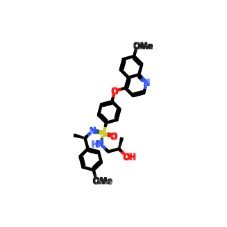 COc1ccc([C@@H](C)N=S(=O)(NC[C@@H](C)O)c2ccc(Oc3ccnc4cc(OC)ccc34)cc2)cc1